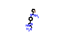 NCc1nc(-c2ccc(/N=C(\N)c3cccs3)cc2)c[nH]1